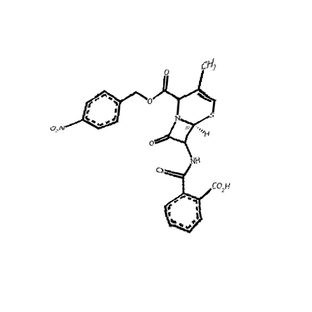 CC1=CS[C@H]2C(NC(=O)c3ccccc3C(=O)O)C(=O)N2C1C(=O)OCc1ccc([N+](=O)[O-])cc1